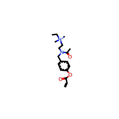 C=CC(=O)Oc1ccc(CN(CC[N+](C)(C)CC)C(C)=O)cc1